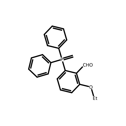 C=P(c1ccccc1)(c1ccccc1)c1cccc(OCC)c1C=O